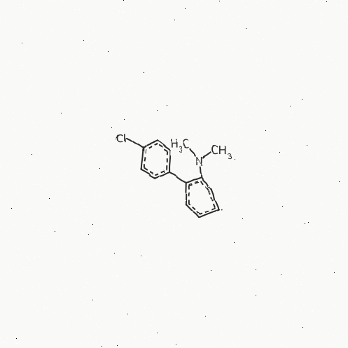 CN(C)c1c[c]ccc1-c1ccc(Cl)cc1